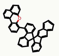 c1ccc2c(c1)-c1cc3ccccc3cc1C21c2ccccc2-c2c(-c3cccc4c3Oc3cccc5cccc-4c35)cccc21